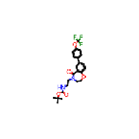 CC(C)(C)OC(=O)NCCN1CCOc2ccc(-c3ccc(OC(F)(F)F)cc3)cc2C1=O